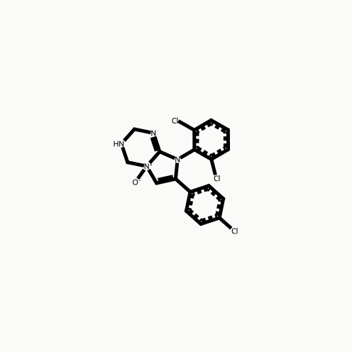 [O-][N+]12C=C(c3ccc(Cl)cc3)N(c3c(Cl)cccc3Cl)C1=NCNC2